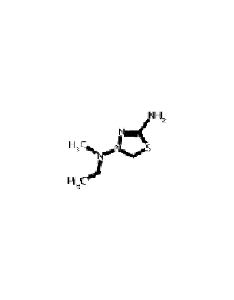 CCN(C)N1CSC(N)=N1